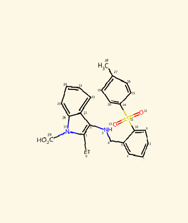 CCc1c(NCc2ccccc2S(=O)(=O)c2ccc(C)cc2)c2ccccc2n1C(=O)O